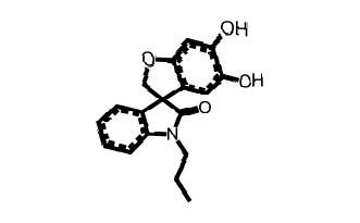 CCCN1C(=O)C2(COc3cc(O)c(O)cc32)c2ccccc21